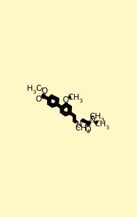 COC(=O)c1ccc(-c2ccc(CCN(C)CC(=O)N(C)C)cc2OC)cc1